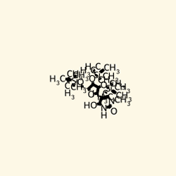 CN1C=C([C@@H]2O[C@H](CO[Si](C)(C)C(C)(C)C)C(O[Si](C)(C)C(C)(C)C)C2O[Si](C)(C)C(C)(C)C)C(O)NC1=O